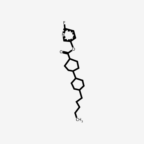 CCCCCC1CCC(C2CCC(C(=O)Oc3ccc(F)nc3)CC2)CC1